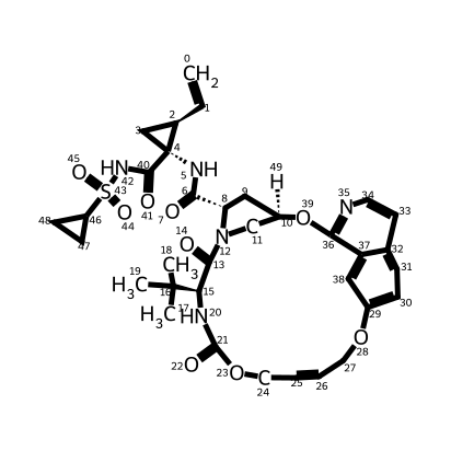 C=C[C@@H]1C[C@]1(NC(=O)[C@@H]1C[C@@H]2CN1C(=O)[C@H](C(C)(C)C)NC(=O)OC/C=C\COc1ccc3ccnc(c3c1)O2)C(=O)NS(=O)(=O)C1CC1